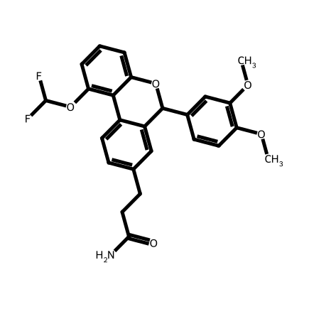 COc1ccc(C2Oc3cccc(OC(F)F)c3-c3ccc(CCC(N)=O)cc32)cc1OC